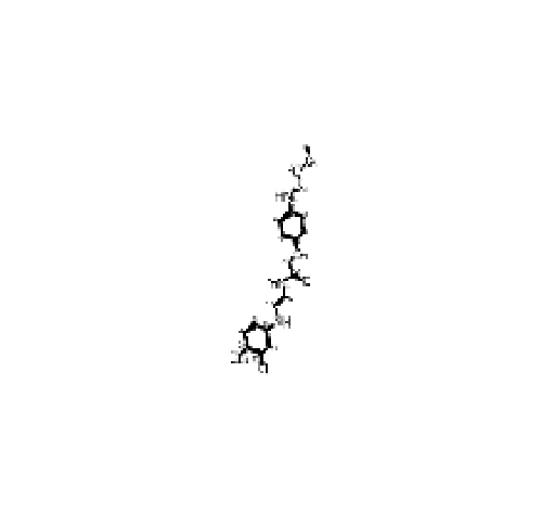 COOSNc1ccc(OCC(=O)NCCNc2ccc(Cl)c(Cl)c2)cc1